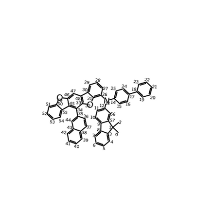 CC1(C)c2ccccc2-c2ccc(N(c3ccc(-c4ccccc4)cc3)c3cccc4c3oc3c(-c5ccc6ccccc6c5)c5c(cc34)oc3ccccc35)cc21